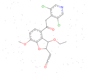 CCOC1c2c(C(=O)Cc3c(Cl)cncc3Cl)ccc(OC)c2OC1C=C=O